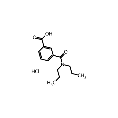 CCCN(CCC)C(=O)c1cccc(C(=O)O)c1.Cl